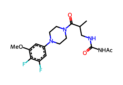 COc1cc(N2CCN(C(=O)C(C)CNC(=O)NC(C)=O)CC2)cc(F)c1F